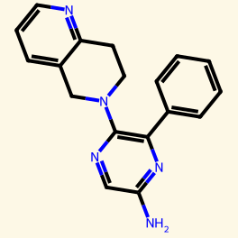 Nc1cnc(N2CCc3ncccc3C2)c(-c2ccccc2)n1